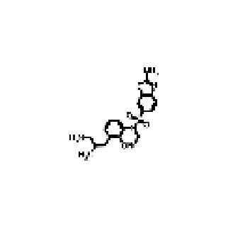 CC(C)CN(c1cccc(C[C@@H](C)CN)c1O)S(=O)(=O)c1ccc2nc(N)sc2c1